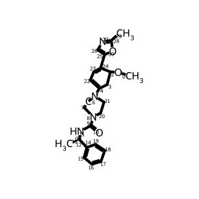 COC1CC(N2CCN(C(=O)N[C@H](C)c3ccccc3)CC2)=CC=C1c1cnc(C)o1